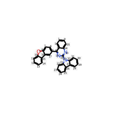 c1ccc2c(-c3ccc4oc5ccccc5c4c3)nc(-n3c4ccccc4c4ccccc43)nc2c1